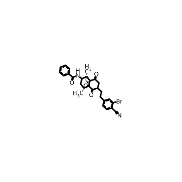 C[C@]12CCO[C@](C)(CC1NC(=O)c1ccccc1)C1C(=O)C(CCc3ccc(C#N)c(Br)c3)CC(=O)C12